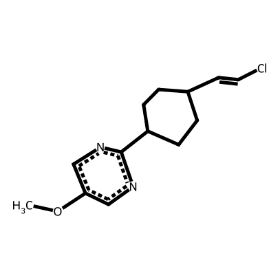 COc1cnc(C2CCC(/C=C/Cl)CC2)nc1